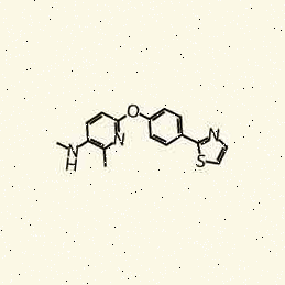 CNc1ccc(Oc2ccc(-c3nccs3)cc2)nc1C